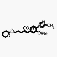 COc1cc(/C=C(/CCCOC2CCCCO2)C(=O)O)ccc1-n1cnc(C)c1